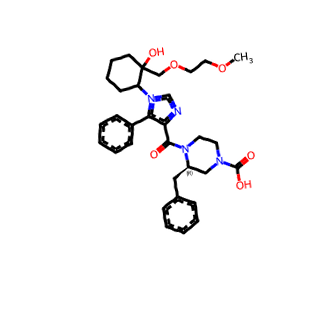 COCCOCC1(O)CCCCC1n1cnc(C(=O)N2CCN(C(=O)O)C[C@H]2Cc2ccccc2)c1-c1ccccc1